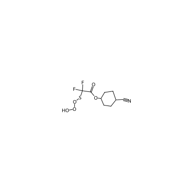 N#CC1CCC(OC(=O)C(F)(F)SOOO)CC1